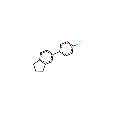 Fc1ccc(-c2ccc3c(c2)CC[CH]3)cc1